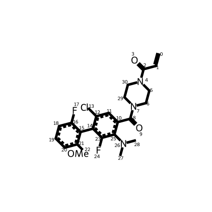 C=CC(=O)N1CCN(C(=O)c2cc(Cl)c(-c3c(F)cccc3OC)c(F)c2N(C)C)CC1